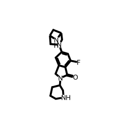 O=C1c2c(F)cc(N3CC4CC(C3)N4)cc2CN1C1CCCNC1